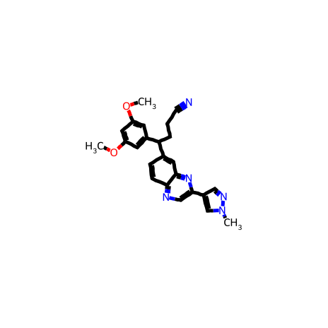 COc1cc(OC)cc(C(CCC#N)c2ccc3ncc(-c4cnn(C)c4)nc3c2)c1